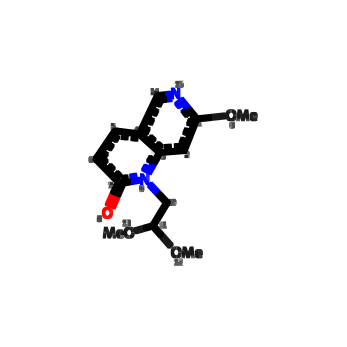 COc1cc2c(ccc(=O)n2CC(OC)OC)cn1